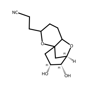 N#CCCC1CCC2O[C@@H]3CC2(C[C@@H](O)[C@H]3O)O1